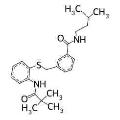 CC(C)CCNC(=O)c1cccc(CSc2ccccc2NC(=O)C(C)(C)C)c1